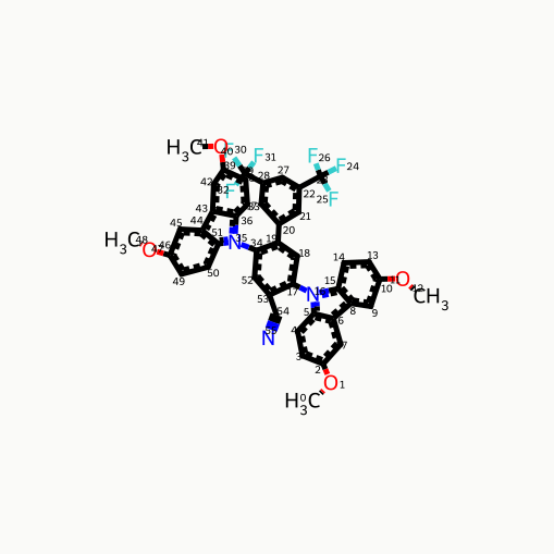 COc1ccc2c(c1)c1cc(OC)ccc1n2-c1cc(-c2cc(C(F)(F)F)cc(C(F)(F)F)c2)c(-n2c3ccc(OC)cc3c3cc(OC)ccc32)cc1C#N